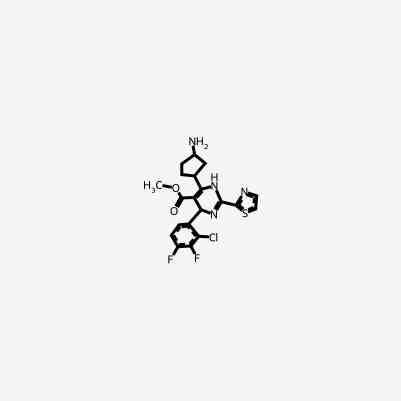 COC(=O)C1=C(C2CCC(N)C2)NC(c2nccs2)=NC1c1ccc(F)c(F)c1Cl